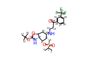 CC(C)S(=O)(=O)C[C@@H]1C[C@H](NC(=O)OC(C)(C)C)CC[C@@H]1NCCC(=O)c1cccc(C(F)(F)F)c1